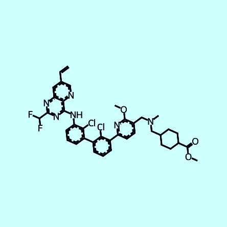 C=Cc1cnc2c(Nc3cccc(-c4cccc(-c5ccc(CN(C)CC6CCC(C(=O)OC)CC6)c(OC)n5)c4Cl)c3Cl)nc(C(F)F)nc2c1